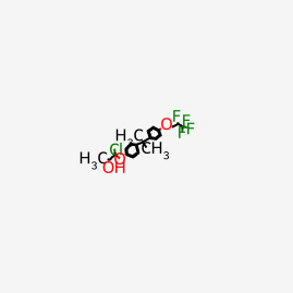 CC(O)C(Cl)Oc1ccc(C(C)(C)c2ccc(OCC(F)C(F)(F)F)cc2)cc1